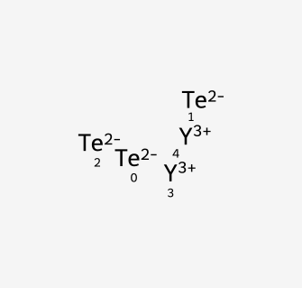 [Te-2].[Te-2].[Te-2].[Y+3].[Y+3]